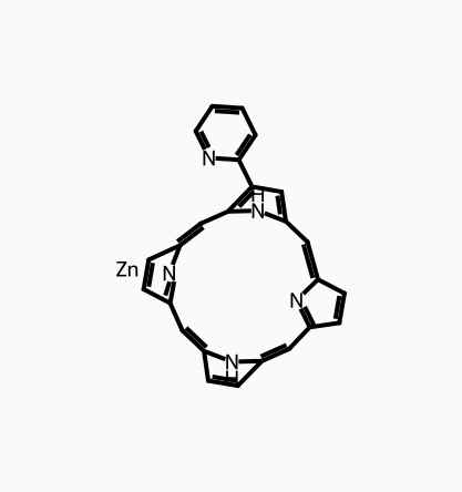 C1=Cc2cc3cc(-c4ccccn4)c(cc4nc(cc5ccc(cc1n2)[nH]5)C=C4)[nH]3.[Zn]